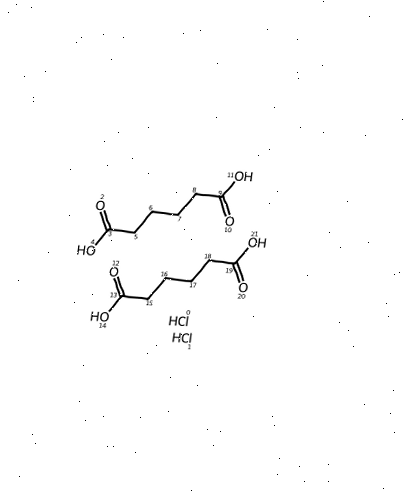 Cl.Cl.O=C(O)CCCCC(=O)O.O=C(O)CCCCC(=O)O